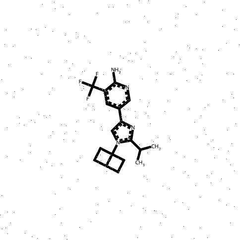 CC(C)c1nc(-c2cnc(N)c(C(F)(F)F)c2)cn1C12CCC1CC2